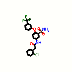 NS(=O)(=O)c1cc(NC(=O)Cc2ccccc2Cl)ccc1Oc1cccc(C(F)(F)F)c1